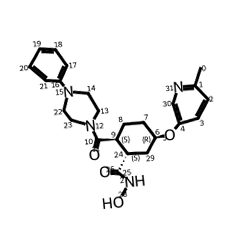 Cc1ccc(O[C@@H]2CC[C@H](C(=O)N3CCN(c4ccccc4)CC3)[C@@H](C(=O)NO)C2)cn1